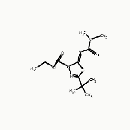 CCOC(=O)n1nc(C(C)(C)C)sc1=NC(=O)N(C)C